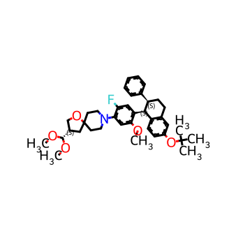 COc1cc(N2CCC3(CC2)C[C@H](C(OC)OC)CO3)c(F)cc1[C@@H]1c2ccc(OC(C)(C)C)cc2CC[C@@H]1c1ccccc1